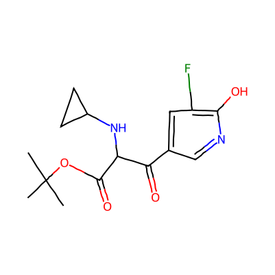 CC(C)(C)OC(=O)C(NC1CC1)C(=O)c1cnc(O)c(F)c1